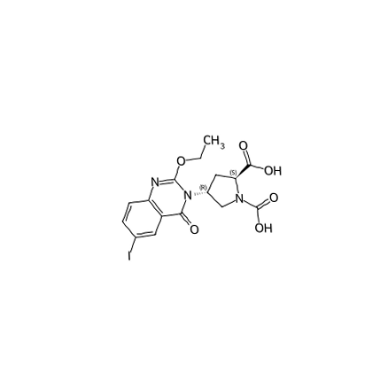 CCOc1nc2ccc(I)cc2c(=O)n1[C@@H]1C[C@@H](C(=O)O)N(C(=O)O)C1